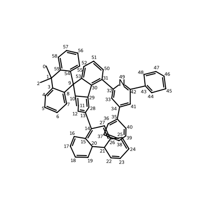 CC1(C)c2ccccc2C2(c3ccc(C4=C5C=CC=CC5C5C=CC=CC5=C4)cc3-c3c(-c4cc(-c5ccccc5)cc(-c5ccccc5)n4)cccc32)c2ccccc21